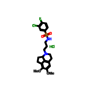 COc1cc2c3c(c1OC)CCC3N(CCCNS(=O)(=O)c1ccc(F)c(Cl)c1)CC2.Cl